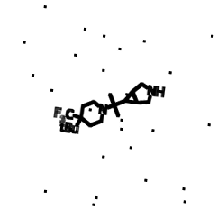 CC(C)(C1C2CNCC21)N1CCC(C(C)(C)C)(C(F)(F)F)CC1